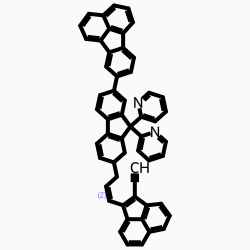 C#CC1=C(/C=C\CC2C=CC3=C(C2)C(c2ccccn2)(c2ccccn2)c2cc(-c4ccc5c(c4)-c4cccc6cccc-5c46)ccc23)c2cccc3cccc1c23